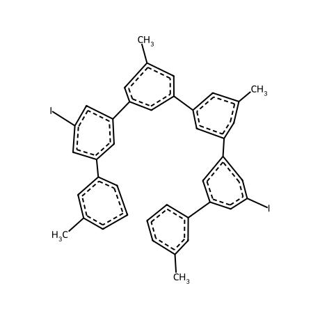 Cc1cccc(-c2cc(I)cc(-c3cc(C)cc(-c4cc(C)cc(-c5cc(I)cc(-c6cccc(C)c6)c5)c4)c3)c2)c1